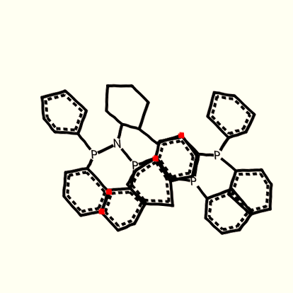 c1ccc(P(c2ccccc2)C(CCC2CCCCC2N(P(c2ccccc2)c2ccccc2)P(c2ccccc2)c2ccccc2)P(c2ccccc2)c2ccccc2)cc1